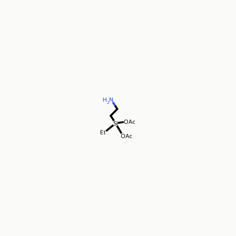 CC[Si](CCN)(OC(C)=O)OC(C)=O